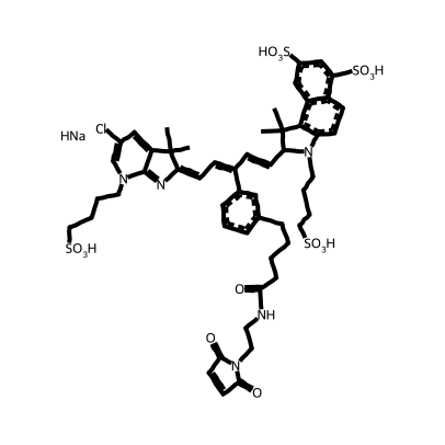 CC1(C)C(=CC=C(C=CC2N(CCCCS(=O)(=O)O)c3ccc4c(S(=O)(=O)O)cc(S(=O)(=O)O)cc4c3C2(C)C)c2cccc(CCCCC(=O)NCCN3C(=O)C=CC3=O)c2)N=C2C1=CC(Cl)=CN2CCCCS(=O)(=O)O.[NaH]